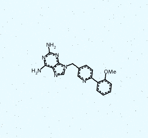 COc1ccccc1-c1ccc(Cn2cnc3c(N)nc(N)nc32)cn1